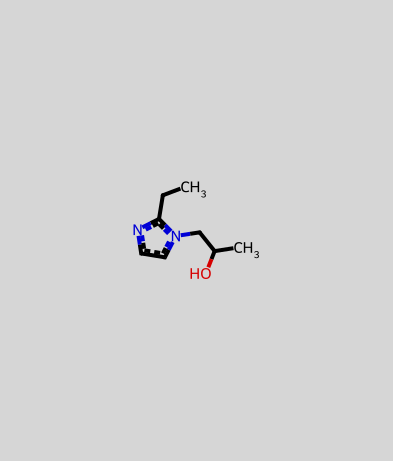 CCc1nccn1CC(C)O